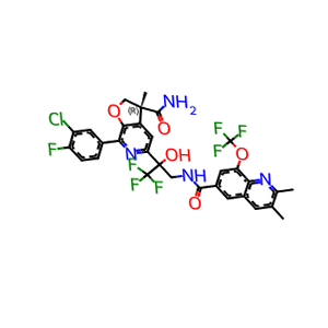 Cc1cc2cc(C(=O)NCC(O)(c3cc4c(c(-c5ccc(F)c(Cl)c5)n3)OC[C@]4(C)C(N)=O)C(F)(F)F)cc(OC(F)(F)F)c2nc1C